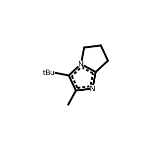 Cc1nc2n(c1C(C)(C)C)CCC2